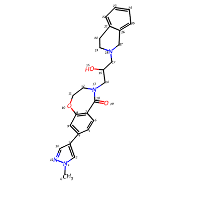 Cn1cc(-c2ccc3c(c2)OCCN(CC(O)CN2CCc4ccccc4C2)C3=O)cn1